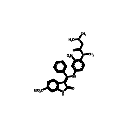 CCOC(=O)c1ccc2c(c1)NC(=O)/C2=C(\Nc1ccc(N(C)C(=O)CN(C)C)c([N+](=O)[O-])c1)c1ccccc1